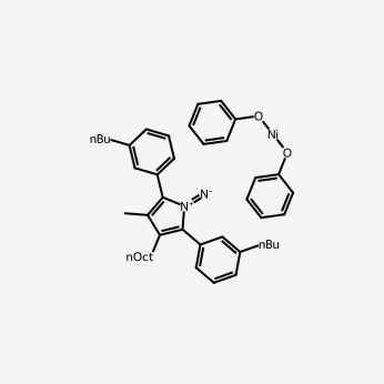 CCCCCCCCC1=C(c2cccc(CCCC)c2)[N+](=[N-])C(c2cccc(CCCC)c2)=C1C.c1ccc([O][Ni][O]c2ccccc2)cc1